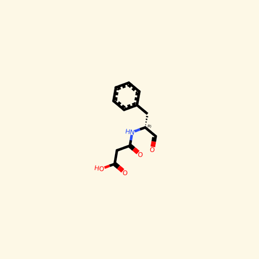 O=C[C@@H](Cc1ccccc1)NC(=O)CC(=O)O